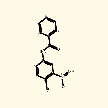 O=C(Nc1ccc(Br)c([N+](=O)[O-])c1)c1ccccc1